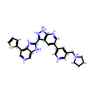 c1csc(-c2cncc3[nH]c(-c4n[nH]c5ncc(-c6cncc(CN7CCCC7)c6)cc45)nc23)c1